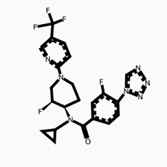 O=C(c1ccc(-n2cnnn2)c(F)c1)N(C1CC1)[C@@H]1CCN(c2ccc(C(F)(F)F)cn2)C[C@@H]1F